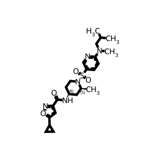 CC(C)CN(C)c1ccc(S(=O)(=O)N2CC[C@@H](NC(=O)c3cc(C4CC4)on3)C[C@@H]2C)cn1